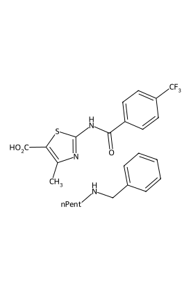 CCCCCNCc1ccccc1.Cc1nc(NC(=O)c2ccc(C(F)(F)F)cc2)sc1C(=O)O